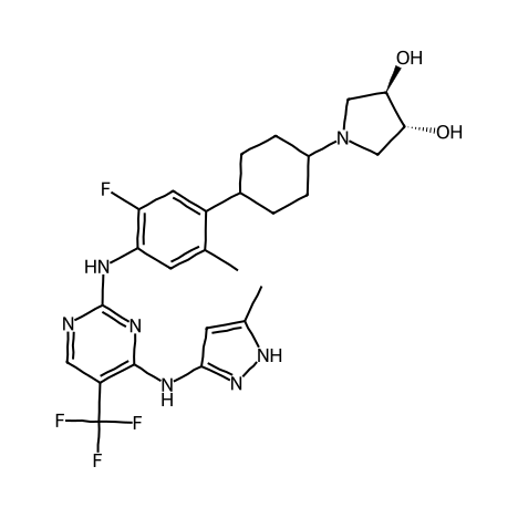 Cc1cc(Nc2nc(Nc3cc(C)c(C4CCC(N5C[C@@H](O)[C@H](O)C5)CC4)cc3F)ncc2C(F)(F)F)n[nH]1